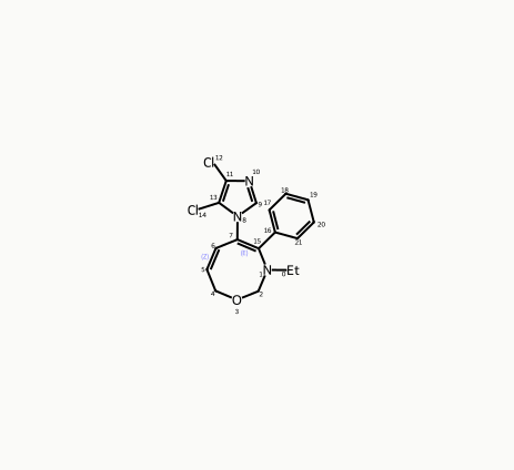 CCN1COC/C=C\C(n2cnc(Cl)c2Cl)=C/1c1ccccc1